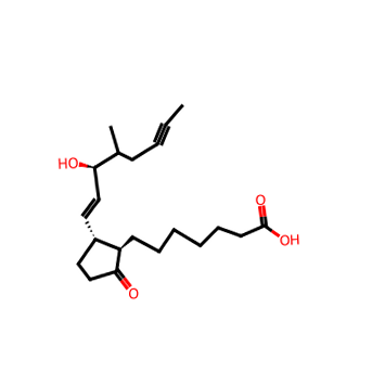 CC#CCC(C)[C@H](O)/C=C/[C@H]1CCC(=O)[C@@H]1CCCCCCC(=O)O